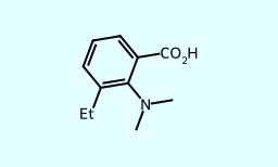 CCc1cccc(C(=O)O)c1N(C)C